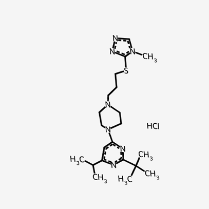 CC(C)c1cc(N2CCN(CCCSc3nncn3C)CC2)nc(C(C)(C)C)n1.Cl